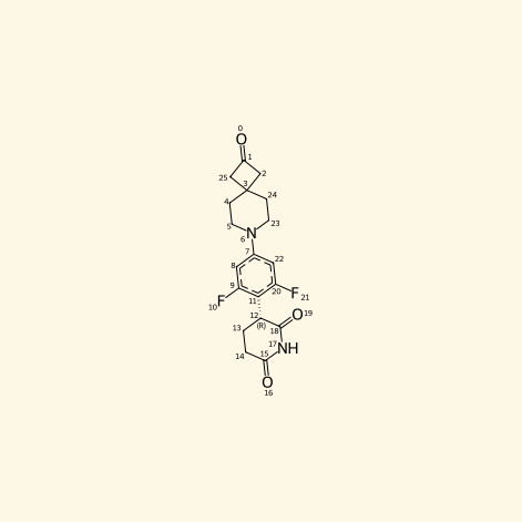 O=C1CC2(CCN(c3cc(F)c([C@H]4CCC(=O)NC4=O)c(F)c3)CC2)C1